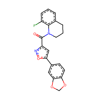 O=C(c1cc(-c2ccc3c(c2)OCO3)on1)N1CCCc2cccc(F)c21